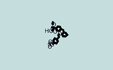 CCOC(C)(C(=O)O)c1ccc(Cc2ccccc2)c(OCCc2ccc(OS(C)(=O)=O)cc2)c1